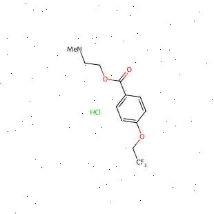 CNCCOC(=O)c1ccc(OCC(F)(F)F)cc1.Cl